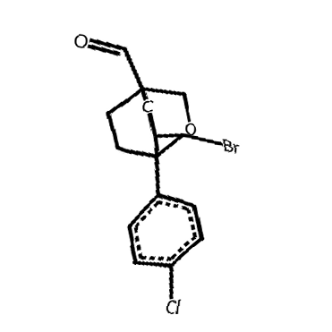 O=CC12CCC(c3ccc(Cl)cc3)(OC1)C(Br)C2